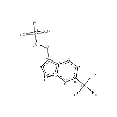 CS(=O)(=O)OCc1coc2cc(C(F)(F)F)ccc12